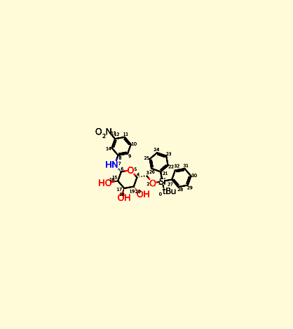 CC(C)(C)[Si](OC[C@H]1O[C@@H](Nc2cccc([N+](=O)[O-])c2)[C@H](O)[C@H](O)[C@H]1O)(c1ccccc1)c1ccccc1